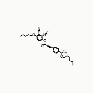 [C-]#[N+]c1c(OC(=O)C#Cc2ccc(C3OCC(CCCC)CO3)cc2)ccc(OCCCCC)c1C#N